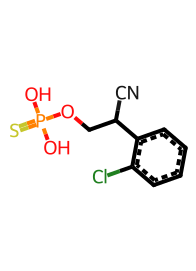 N#CC(COP(O)(O)=S)c1ccccc1Cl